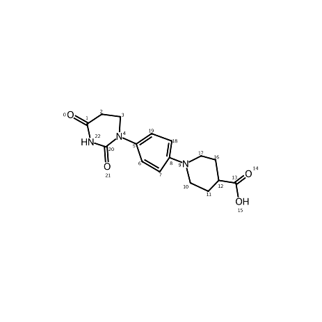 O=C1CCN(c2ccc(N3CCC(C(=O)O)CC3)cc2)C(=O)N1